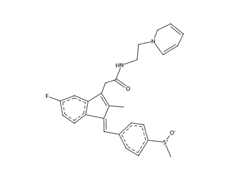 CC1=C(CC(=O)NCCN2C=CC=CC2)c2cc(F)ccc2C1=Cc1ccc([S+](C)[O-])cc1